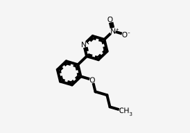 CCCCOc1ccccc1-c1ccc([N+](=O)[O-])cn1